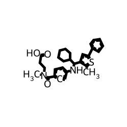 Cc1sc(-c2ccccc2)cc1C(Nc1ccc(C(=O)N(C)CCC(=O)O)cc1)C1CCCCC1